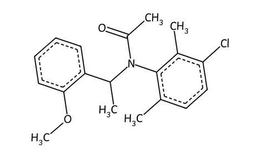 COc1ccccc1C(C)N(C(C)=O)c1c(C)ccc(Cl)c1C